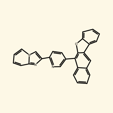 c1ccc2c(-c3ccc(-c4cn5ccccc5n4)nc3)c3oc4ccccc4c3cc2c1